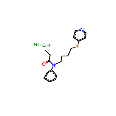 CCC(=O)N(CCCCSc1ccncc1)c1ccccc1.Cl.Cl